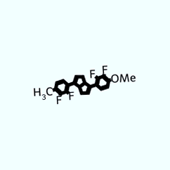 COc1ccc(C2=CCC3C(c4ccc(C)c(F)c4F)=CCC23)c(F)c1F